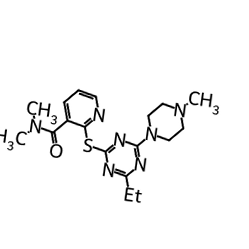 CCc1nc(Sc2ncccc2C(=O)N(C)C)nc(N2CCN(C)CC2)n1